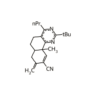 C=C1CC2CCc3c(CCC)nc(C(C)(C)C)nc3C2(C)C=C1C#N